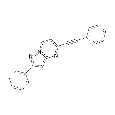 C(#Cc1ccn2nc(-c3ccccc3)cc2n1)c1ccccc1